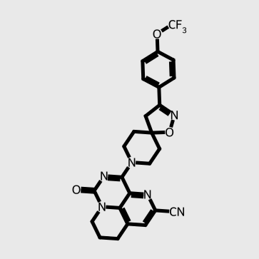 N#Cc1cc2c3c(n1)c(N1CCC4(CC1)CC(c1ccc(OC(F)(F)F)cc1)=NO4)nc(=O)n3CCC2